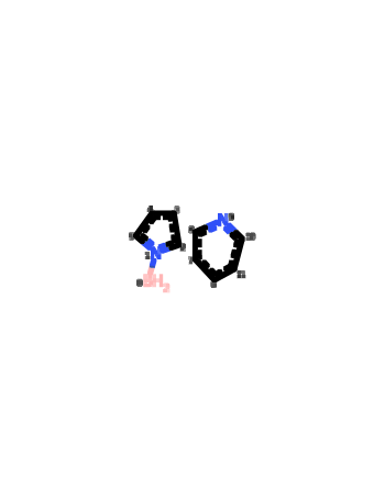 Bn1cccc1.c1ccncc1